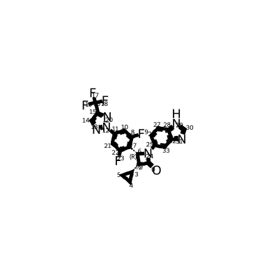 O=C1[C@H](C2CC2)[C@H](c2c(F)cc(-n3ncc(C(F)(F)F)n3)cc2F)N1c1ccc2[nH]cnc2c1